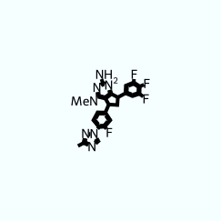 CNc1nc(N)nc2c1C(c1ccc(-n3cnc(C)n3)c(F)c1)CC2c1cc(F)c(F)c(F)c1